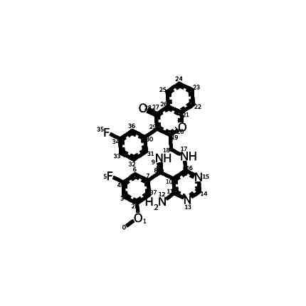 COc1cc(F)cc(C(=N)c2c(N)ncnc2NCc2oc3ccccc3c(=O)c2-c2cccc(F)c2)c1